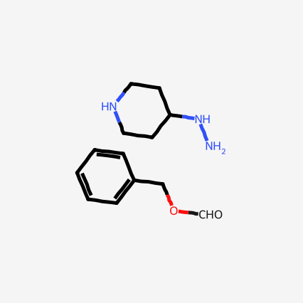 NNC1CCNCC1.O=COCc1ccccc1